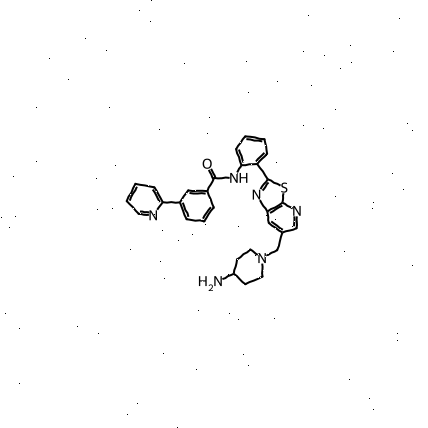 NC1CCN(Cc2cnc3sc(-c4ccccc4NC(=O)c4cccc(-c5ccccn5)c4)nc3c2)CC1